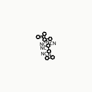 N#Cc1cc(-c2cc(C#N)c(-n3c4ccccc4c4c5c6ccccc6n(-c6ccccc6)c5ccc43)c(C#N)c2C#N)ccc1-n1c2ccccc2c2ccccc21